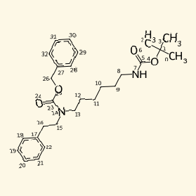 CC(C)(C)OC(=O)NCCCCCCN(CCc1ccccc1)C(=O)OCc1ccccc1